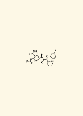 NC(=O)c1cc(NC(=O)C(=O)N2CCCC[C@H]2c2ccc(F)cc2)cnc1OC(F)F